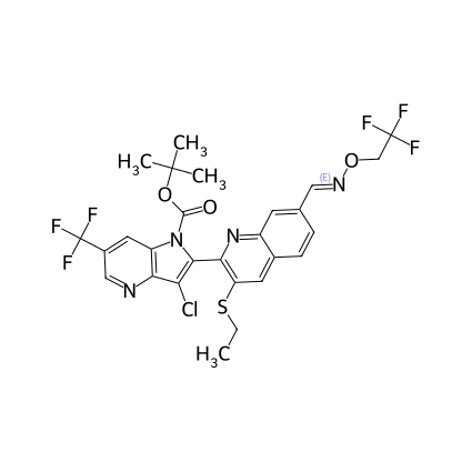 CCSc1cc2ccc(/C=N/OCC(F)(F)F)cc2nc1-c1c(Cl)c2ncc(C(F)(F)F)cc2n1C(=O)OC(C)(C)C